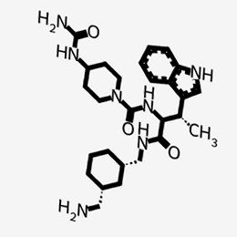 C[C@@H](c1c[nH]c2ccccc12)C(NC(=O)N1CCC(NC(N)=O)CC1)C(=O)NC[C@H]1CCC[C@@H](CN)C1